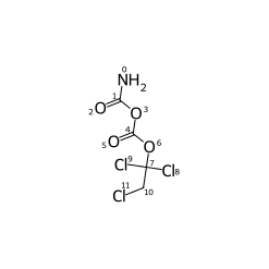 NC(=O)OC(=O)OC(Cl)(Cl)CCl